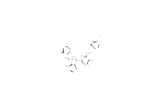 COc1ccc(CNc2nc(-c3nn(Cc4ccccc4F)c4ncccc34)nc(C)c2F)cc1